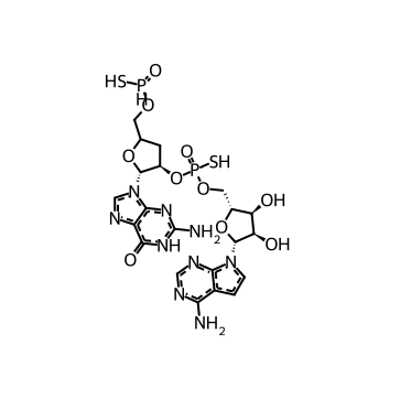 Nc1nc2c(ncn2[C@@H]2OC(CO[PH](=O)S)C[C@H]2OP(=O)(S)OC[C@H]2O[C@@H](n3ccc4c(N)ncnc43)[C@H](O)[C@@H]2O)c(=O)[nH]1